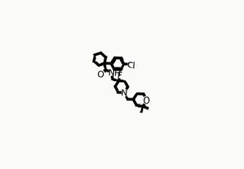 CC1(C)CC(CN2CCC(F)(CNC(=O)C3(c4ccc(Cl)cc4)CCCCC3)CC2)CCO1